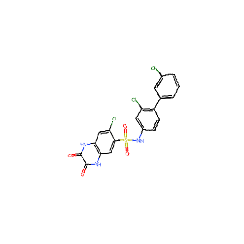 O=c1[nH]c2cc(Cl)c(S(=O)(=O)Nc3ccc(-c4cccc(Cl)c4)c(Cl)c3)cc2[nH]c1=O